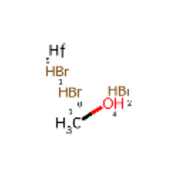 Br.Br.Br.CO.[Hf]